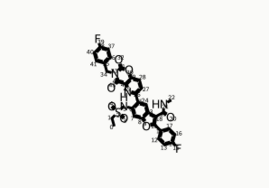 CCS(=O)(=O)Nc1cc2oc(-c3ccc(F)cc3)c(C(=O)NC)c2cc1-c1ccc2oc(=O)n(Cc3ccc(F)cc3)c(=O)c2n1